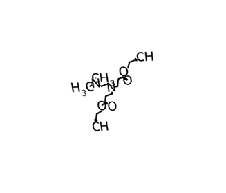 C#CCCOC(=O)CCN(CCC(=O)OCCC#C)CCN(C)C